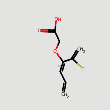 C=C/C=C(/OCC(=O)O)C(=C)F